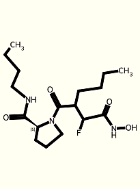 CCCCNC(=O)[C@@H]1CCCN1C(=O)C(CCCC)C(F)C(=O)NO